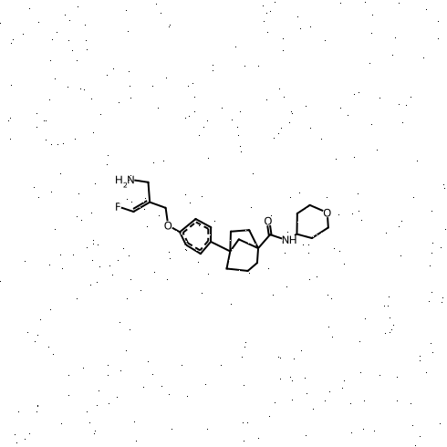 NCC(=CF)COc1ccc(C23CCCC(C(=O)NC4CCOCC4)(CC2)C3)cc1